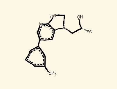 CC[C@@H](O)CN1CNc2ncc(-c3cccc(C)c3)cc21